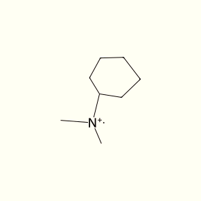 C[N+](C)C1CCCCC1